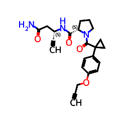 C#CCOc1ccc(C2(C(=O)N3CCC[C@H]3C(=O)N[C@H](C#C)CC(N)=O)CC2)cc1